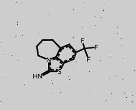 N=c1sc2cc(C(F)(F)F)cc3c2n1CCCC3